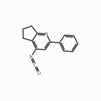 O=C=Nc1cc(-c2ccccc2)nc2c1CCC2